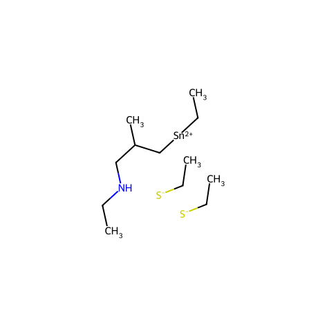 CCNCC(C)[CH2][Sn+2][CH2]C.CC[S-].CC[S-]